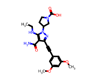 CCNc1c(C(N)=O)c(C#Cc2cc(OC)cc(OC)c2)nn1C1CCN(C(=O)O)C1